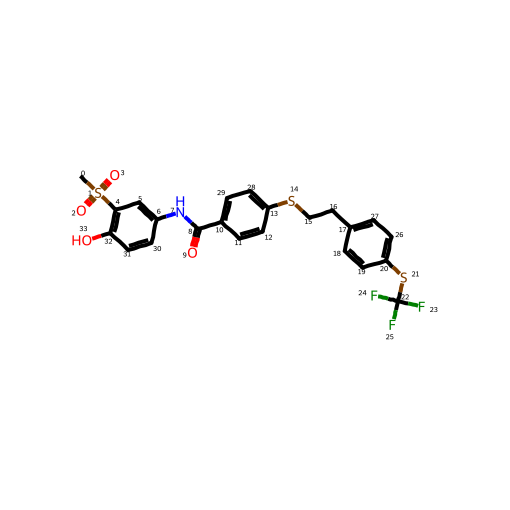 CS(=O)(=O)c1cc(NC(=O)c2ccc(SCCc3ccc(SC(F)(F)F)cc3)cc2)ccc1O